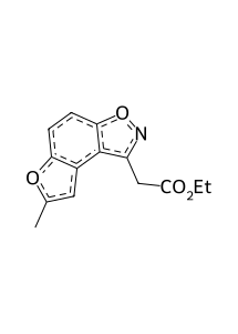 CCOC(=O)Cc1noc2ccc3oc(C)cc3c12